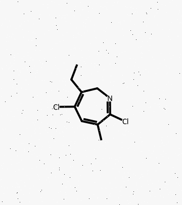 CCC1=C(Cl)C=C(C)C(Cl)=NC1